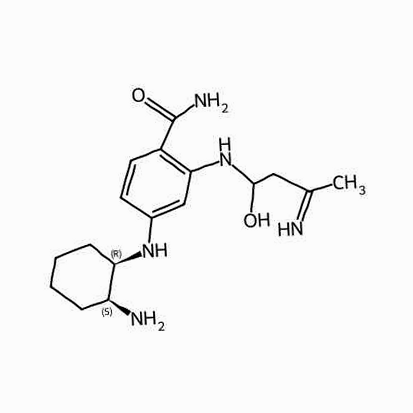 CC(=N)CC(O)Nc1cc(N[C@@H]2CCCC[C@@H]2N)ccc1C(N)=O